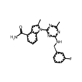 Cc1nc(NCc2cccc(F)c2)nc(-n2c(C)cc3c(C(N)=O)cccc32)n1